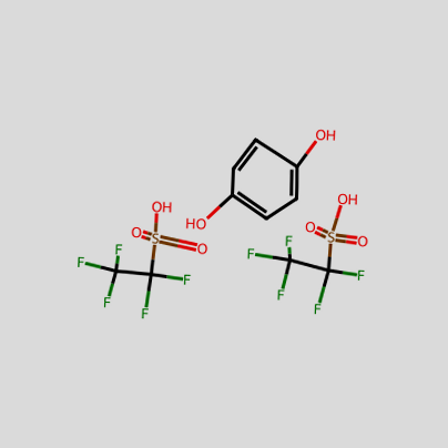 O=S(=O)(O)C(F)(F)C(F)(F)F.O=S(=O)(O)C(F)(F)C(F)(F)F.Oc1ccc(O)cc1